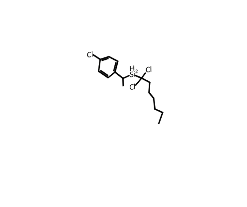 CCCCCCC(Cl)(Cl)[SiH2]C(C)c1ccc(Cl)cc1